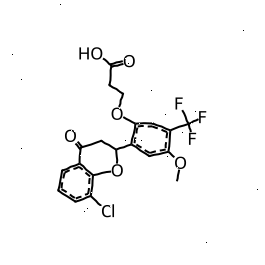 COc1cc(C2CC(=O)c3cccc(Cl)c3O2)c(OCCC(=O)O)cc1C(F)(F)F